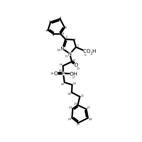 O=C(O)C1CC(c2ccccc2)=NN1C(=O)CP(=O)(O)CCCCc1ccccc1